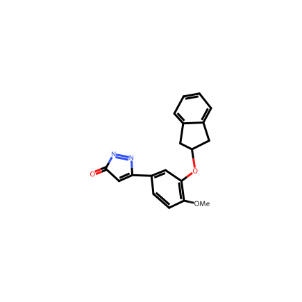 COc1ccc(C2=CC(=O)N=N2)cc1OC1Cc2ccccc2C1